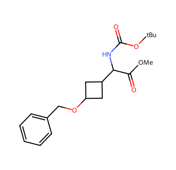 COC(=O)C(NC(=O)OC(C)(C)C)C1CC(OCc2ccccc2)C1